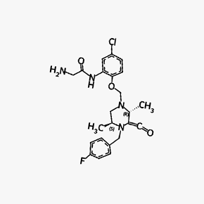 C[C@@H]1C(=C=O)N(Cc2ccc(F)cc2)[C@@H](C)CN1COc1ccc(Cl)cc1NC(=O)CN